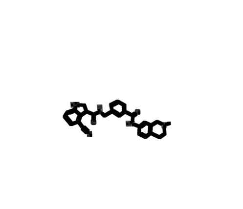 CN1CCc2ccc(NC(=O)c3cccc(CNC(=O)C4CNc5cccc(C#N)c54)c3)cc2C1